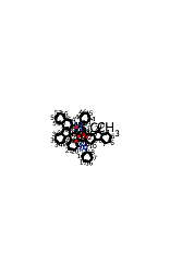 CC1(C)c2ccccc2-c2cc(N(c3ccccc3)c3cccc4c3-c3ccccc3C43c4ccccc4-c4c3c(N(c3ccccc3)c3ccccc3)cc3ccccc43)ccc21